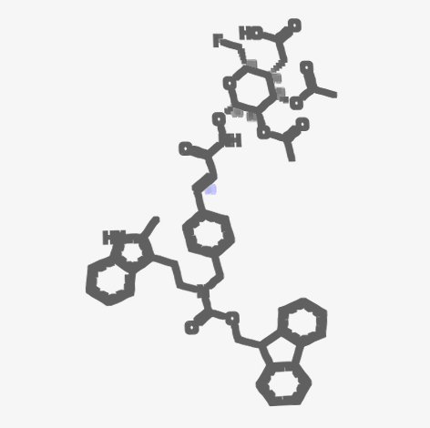 CC(=O)O[C@H]1[C@H](ONC(=O)/C=C/c2ccc(CN(CCc3c(C)[nH]c4ccccc34)C(=O)OCC3c4ccccc4-c4ccccc43)cc2)O[C@H](CF)[C@H](CC(=O)O)[C@@H]1OC(C)=O